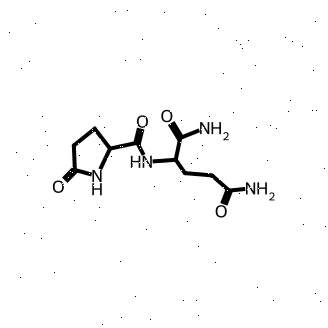 NC(=O)CCC(NC(=O)C1CCC(=O)N1)C(N)=O